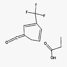 CCC(=O)O.O=C=C1C=C(C(F)(F)F)C=CC1